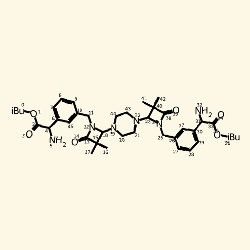 CCC(C)OC(=O)C(N)c1cccc(CN2C(=O)C(C)(C)C2N2CCN(C3N(Cc4cccc(C(N)C(=O)OC(C)CC)c4)C(=O)C3(C)C)CC2)c1